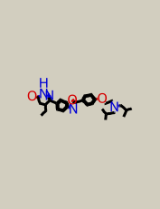 CCC1CC(=O)NN=C1c1ccc2nc(-c3ccc(OCCN(CC(C)C)CC(C)C)cc3)oc2c1